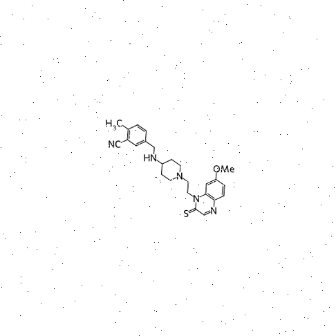 COc1ccc2ncc(=S)n(CCN3CCC(NCc4ccc(C)c(C#N)c4)CC3)c2c1